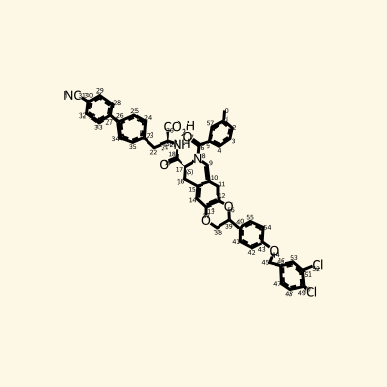 Cc1cccc(C(=O)N2C=C3CC4=C(C=C3C[C@H]2C(=O)N[C@@H](Cc2ccc(-c3ccc(C#N)cc3)cc2)C(=O)O)OCC(c2ccc(OCc3ccc(Cl)c(Cl)c3)cc2)O4)c1